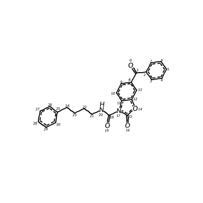 O=C(c1ccccc1)c1ccc2c(c1)oc(=O)n2C(=O)NCCCCc1ccccc1